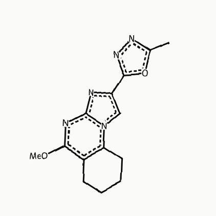 COc1nc2nc(-c3nnc(C)o3)cn2c2c1CCCC2